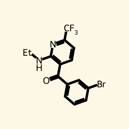 CCNc1nc(C(F)(F)F)ccc1C(=O)c1cccc(Br)c1